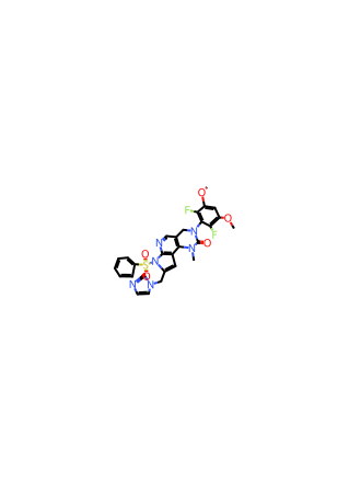 COc1cc(OC)c(F)c(N2Cc3cnc4c(cc(Cn5ccnc5)n4S(=O)(=O)c4ccccc4)c3N(C)C2=O)c1F